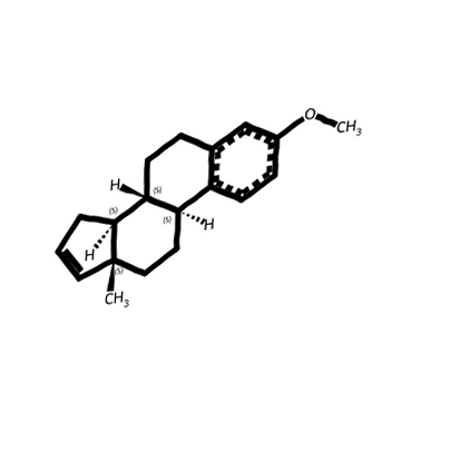 COc1ccc2c(c1)CC[C@@H]1[C@@H]2CC[C@]2(C)C=CC[C@@H]12